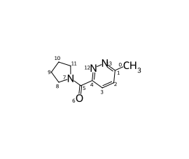 Cc1ccc(C(=O)N2CCCC2)nn1